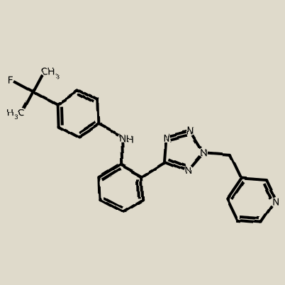 CC(C)(F)c1ccc(Nc2ccccc2-c2nnn(Cc3cccnc3)n2)cc1